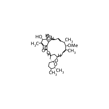 CO[C@H]1/C(C)=C/C[C@@H]2C[C@@H](C[C@]3(CC[C@H](C)[C@@H](C)O3)O2)OC(=O)[C@@H]2C=C(C)[C@@H](O)[C@H]3OC/C(=C\C=C\[C@@H]1C)[C@]32O